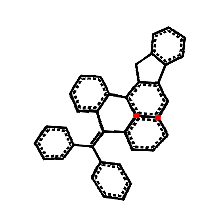 c1ccc(C(=C(c2ccccc2)c2ccccc2-c2cccc3c2Cc2ccccc2-3)c2ccccc2)cc1